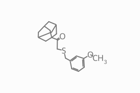 COc1cccc(CSCC(=O)C23CC4CC(CC(C4)C2)C3)c1